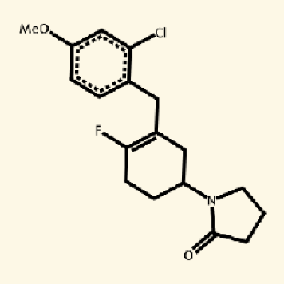 COc1ccc(CC2=C(F)CCC(N3CCCC3=O)C2)c(Cl)c1